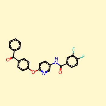 O=C(Nc1ccc(Oc2ccc(C(=O)c3ccccc3)cc2)nc1)c1ccc(F)c(F)c1